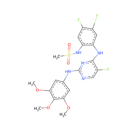 COc1cc(Nc2ncc(F)c(Nc3cc(F)c(F)cc3NS(C)(=O)=O)n2)cc(OC)c1OC